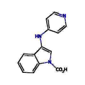 O=C(O)n1cc(Nc2ccncc2)c2ccccc21